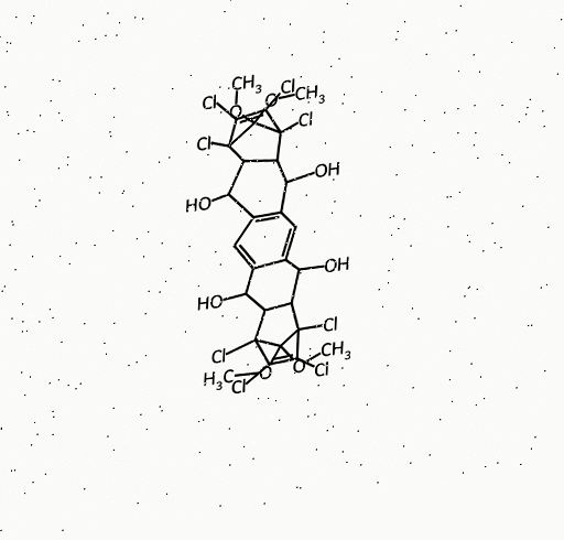 COC1(OC)C2(Cl)C(Cl)=C(Cl)C1(Cl)C1C(O)c3cc4c(cc3C(O)C12)C(O)C1C(C4O)C2(Cl)C(Cl)=C(Cl)C1(Cl)C2(OC)OC